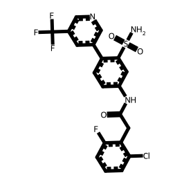 NS(=O)(=O)c1cc(NC(=O)Cc2c(F)cccc2Cl)ccc1-c1cncc(C(F)(F)F)c1